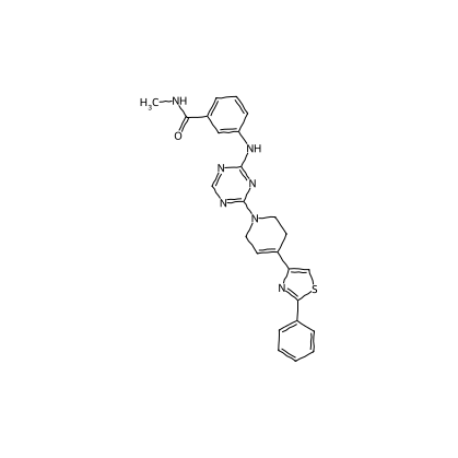 CNC(=O)c1cccc(Nc2ncnc(N3CC=C(c4csc(-c5ccccc5)n4)CC3)n2)c1